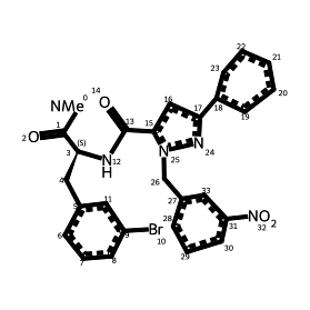 CNC(=O)[C@H](Cc1cccc(Br)c1)NC(=O)c1cc(-c2ccccc2)nn1Cc1cccc([N+](=O)[O-])c1